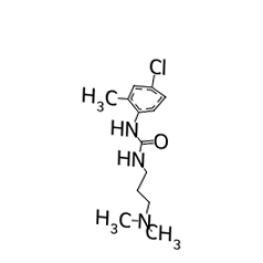 Cc1cc(Cl)ccc1NC(=O)NCCCN(C)C